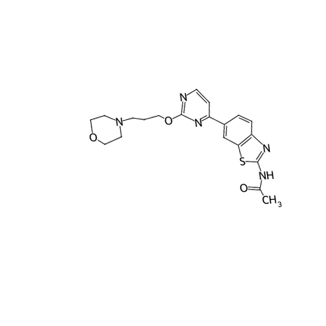 CC(=O)Nc1nc2ccc(-c3ccnc(OCCCN4CCOCC4)n3)cc2s1